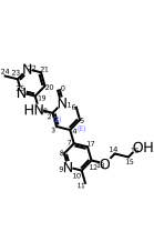 C=N/C(=C\C(=C/C)c1cnc(C)c(OCCO)c1)Nc1ccnc(C)n1